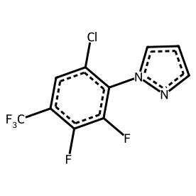 Fc1c(C(F)(F)F)cc(Cl)c(-n2cccn2)c1F